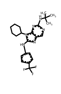 CC(C)(C)Nc1ncc2nc(Nc3ccc(C(F)(F)F)cc3)n(C3CCCCC3)c2n1